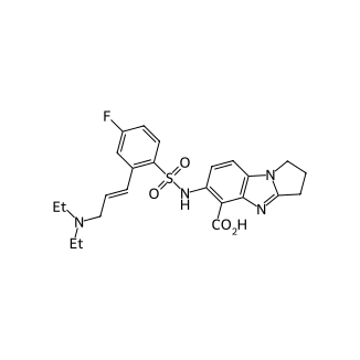 CCN(CC)CC=Cc1cc(F)ccc1S(=O)(=O)Nc1ccc2c(nc3n2CCC3)c1C(=O)O